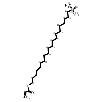 C=CC(=O)OCCCCCCCCCCCCCCCCCCCC[Si](C)(C)I